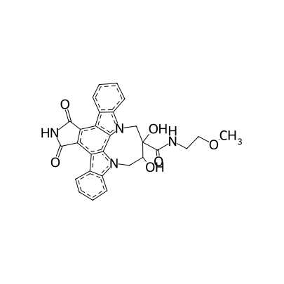 COCCNC(=O)C1(O)Cn2c3ccccc3c3c4c(c5c6ccccc6n(c5c32)CC1O)C(=O)NC4=O